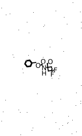 O=CC1(NC(=O)OCc2ccccc2)CC(F)(F)C1